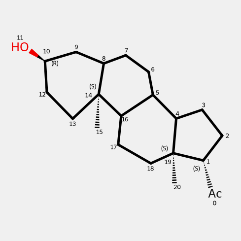 CC(=O)[C@H]1CCC2C3CCC4C[C@H](O)CC[C@]4(C)C3CC[C@@]21C